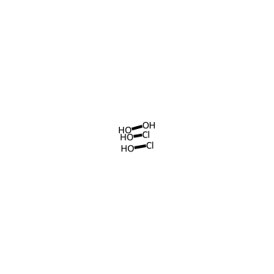 OCl.OCl.OO